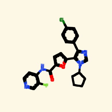 O=C(Nc1ccncc1F)c1ccc(-c2c(-c3ccc(Cl)cc3)ncn2C2CCCC2)o1